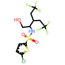 O=S(=O)(NC(CO)C(CC(F)(F)F)CC(F)(F)F)c1ccc(Cl)s1